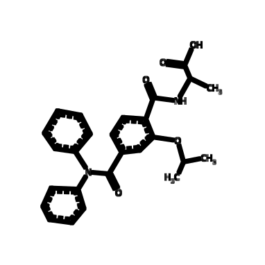 CC(C)Oc1cc(C(=O)N(c2ccccc2)c2ccccc2)ccc1C(=O)NC(C)C(=O)O